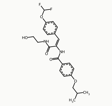 CC(C)COc1ccc(C(=O)N/C(=C/c2ccc(OC(F)F)cc2)C(=O)NCCO)cc1